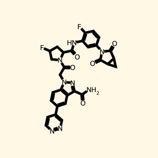 NC(=O)c1nn(CC(=O)N2CC(F)CC2C(=O)Nc2cc(N3C(=O)C4CC4C3=O)ccc2F)c2ccc(-c3ccnnc3)cc12